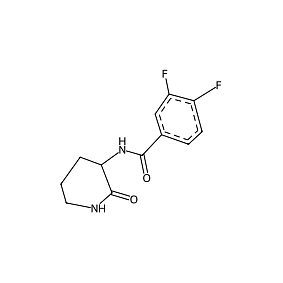 O=C(NC1CCCNC1=O)c1ccc(F)c(F)c1